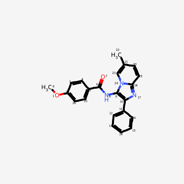 COc1ccc(C(=O)Nc2c(-c3ccccc3)nc3ccc(C)cn23)cc1